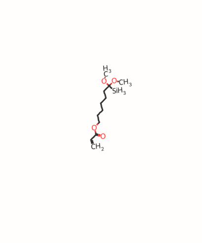 C=CC(=O)OCCCCCCC([SiH3])(OC)OC